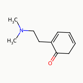 CN(C)CCC1=CC=CCC1=O